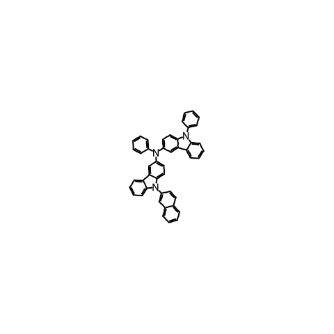 c1ccc(N(c2ccc3c(c2)c2ccccc2n3-c2ccccc2)c2ccc3c(c2)c2ccccc2n3-c2ccc3ccccc3c2)cc1